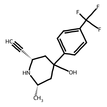 C#C[C@@H]1CC(O)(c2ccc(C(F)(F)F)cc2)C[C@H](C)N1